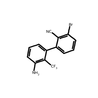 N#Cc1c(Br)cccc1-c1cccc(N)c1C(F)(F)F